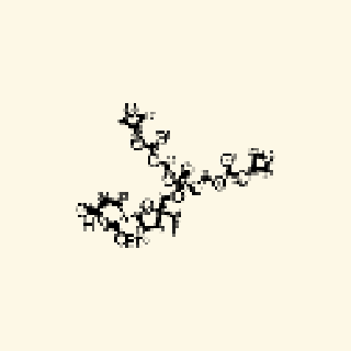 CC[C@H]1C[C@@](CF)(COP(=O)(OCOC(=O)OC2COC2)OCOC(=O)OC2COC2)O[C@H]1n1ccc(=O)[nH]c1=O